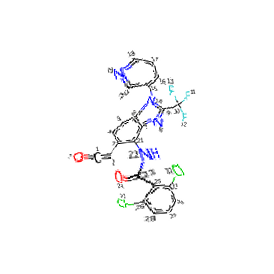 O=C=Cc1ccc2c(nc(C(F)(F)F)n2-c2cccnc2)c1NC(=O)c1c(Cl)cccc1Cl